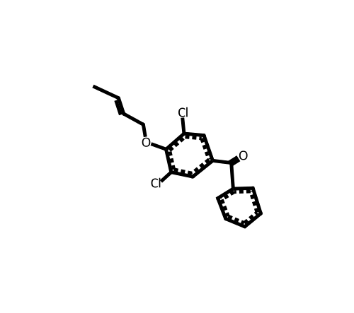 CC=CCOc1c(Cl)cc(C(=O)c2ccccc2)cc1Cl